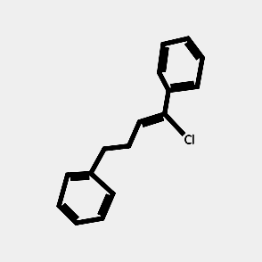 Cl/C(=C\CCc1ccccc1)c1ccccc1